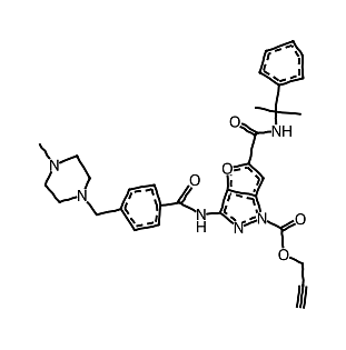 C#CCOC(=O)n1nc(NC(=O)c2ccc(CN3CCN(C)CC3)cc2)c2oc(C(=O)NC(C)(C)c3ccccc3)cc21